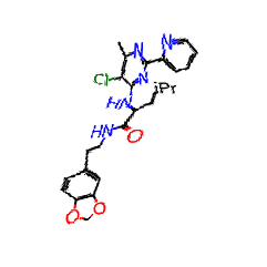 Cc1nc(-c2ccccn2)nc(NC(CC(C)C)C(=O)NCCc2ccc3c(c2)OCO3)c1Cl